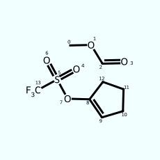 COC=O.O=S(=O)(OC1=CCCC1)C(F)(F)F